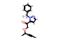 CC#CC(C)OCC(=O)c1ccnn1[C@H](C)c1ccccc1